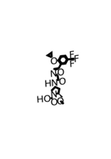 COC[C@@H]1C[C@@H](NC(=O)c2ncc(-c3cc(C(F)(F)F)ccc3OC3CC3)o2)CN1C(=O)O